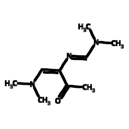 CC(=O)C(=C\N(C)C)/N=C/N(C)C